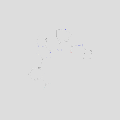 O=C(NC1CCC1)c1cnccc1Nc1nc(-c2cccc(C(F)F)n2)nn2cccc12